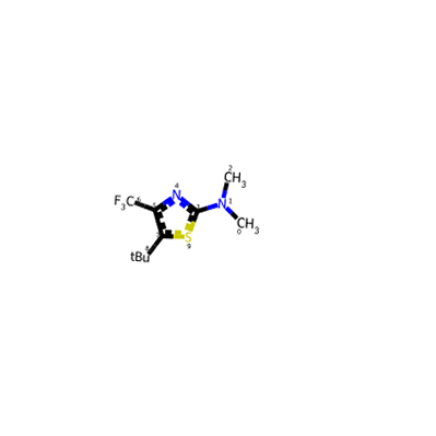 CN(C)c1nc(C(F)(F)F)c(C(C)(C)C)s1